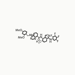 COc1ccc(CNc2ncnc3c(C(=O)Nc4c(C)ccc5c(Nc6cc(F)c(F)c(F)c6F)nccc45)cccc23)c(OC)c1